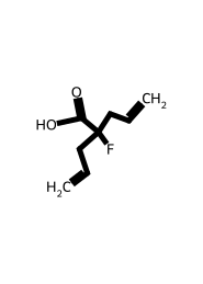 C=CCC(F)(CC=C)C(=O)O